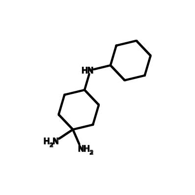 NC1(N)CCC(NC2CCCCC2)CC1